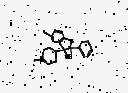 Cc1ccc2c(c1)C(O)(C1CCN(C)CC1)C(C)(c1ccccc1)S2